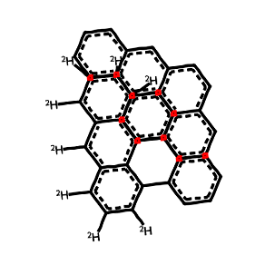 [2H]c1c([2H])c([2H])c2c(-c3cccc4ccc5cc6ccccc6cc5c34)c3c(-c4ccccc4-c4ccccc4)c([2H])c([2H])c([2H])c3c([2H])c2c1[2H]